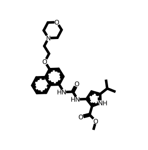 COC(=O)c1[nH]c(C(C)C)cc1NC(=O)Nc1ccc(OCCN2CCOCC2)c2ccccc12